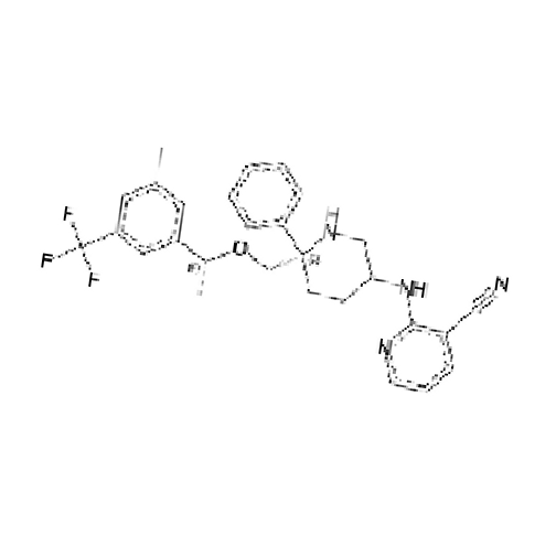 Cc1cc([C@@H](C)OC[C@@]2(c3ccccc3)CCC(Nc3ncccc3C#N)CN2)cc(C(F)(F)F)c1